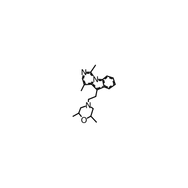 Cc1cnc(C)n2c1c(CCN1CC(C)OC(C)C1)c1ccccc12